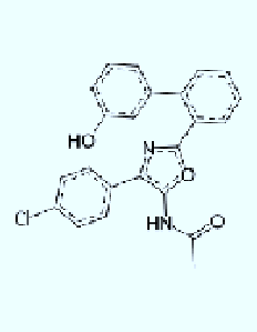 CC(=O)Nc1oc(-c2ccccc2-c2cccc(O)c2)nc1-c1ccc(Cl)cc1